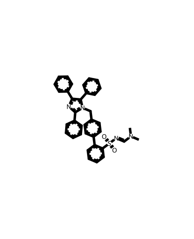 CN(C)C=NS(=O)(=O)c1ccccc1-c1ccc(Cn2c(-c3ccccc3)nc(-c3ccccc3)c2-c2ccccc2)cc1